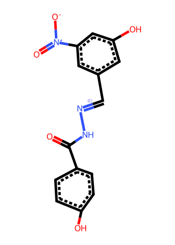 O=C(N/N=C/c1cc(O)cc([N+](=O)[O-])c1)c1ccc(O)cc1